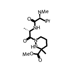 CN[C@H](C(=O)N[C@@H](C)C(=O)N1CCCC(C)(C(=O)OC)N1)C(C)C